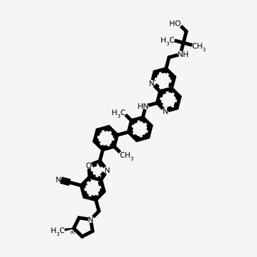 Cc1c(Nc2nccc3cc(CNC(C)(C)CO)cnc23)cccc1-c1cccc(-c2nc3cc(CN4CC[C@@H](C)C4)cc(C#N)c3o2)c1C